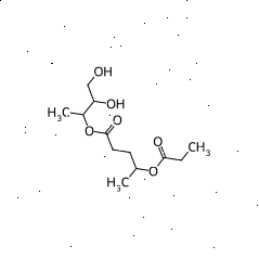 CCC(=O)OC(C)CCC(=O)OC(C)C(O)CO